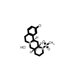 CS(=O)(=O)N1CCC[C@@H]2CN3CCc4ccc(Cl)cc4[C@H]3C[C@@H]21.Cl